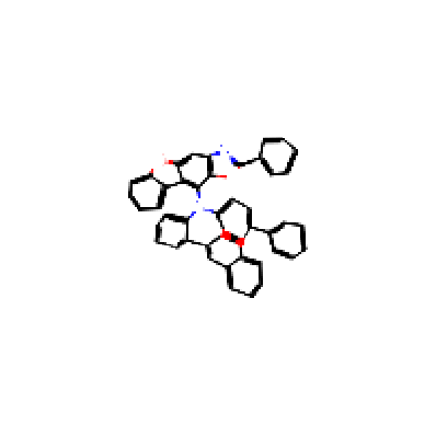 c1ccc(-c2ccc(N(c3ccccc3-c3ccc4ccccc4c3)c3c4oc(-c5ccccc5)nc4cc4oc5ccccc5c34)cc2)cc1